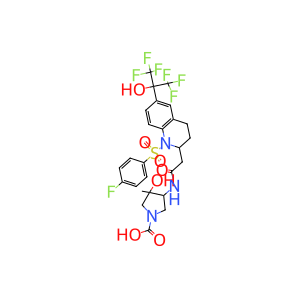 CC1(O)CN(C(=O)O)CC1NC(=O)CC1CCc2cc(C(O)(C(F)(F)F)C(F)(F)F)ccc2N1S(=O)(=O)c1ccc(F)cc1